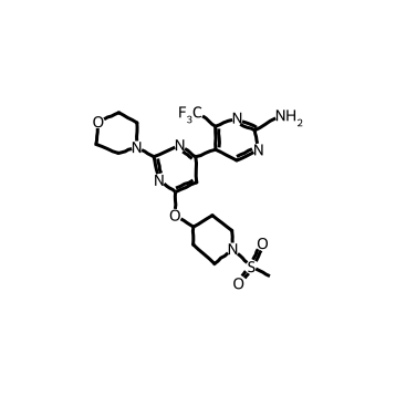 CS(=O)(=O)N1CCC(Oc2cc(-c3cnc(N)nc3C(F)(F)F)nc(N3CCOCC3)n2)CC1